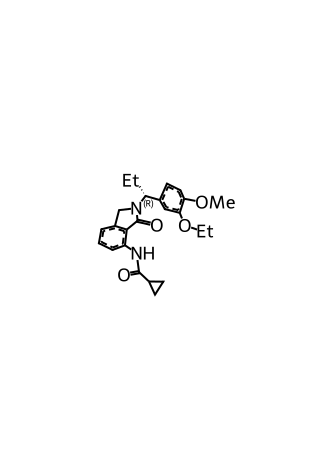 CCOc1cc([C@@H](CC)N2Cc3cccc(NC(=O)C4CC4)c3C2=O)ccc1OC